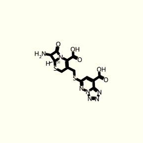 NC1C(=O)N2C(C(=O)O)=C(CSc3cc(C(=O)O)c4nnnn4n3)CS[C@@H]12